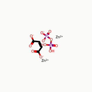 O=C([O-])/C=C\C(=O)[O-].O=P([O-])([O-])OP(=O)(O)O.[Zn+2].[Zn+2]